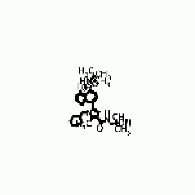 Cc1c(C(=O)NCC(C)(C)O)cc(-c2ccc(S(=O)(=O)NC(C)(C)C)c3c(F)cccc23)n1CC1CCCCC1